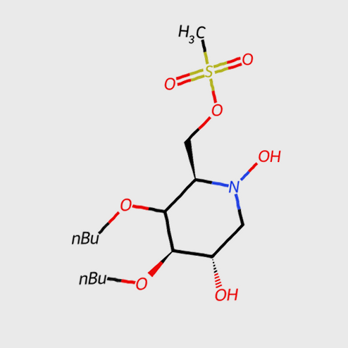 CCCCOC1[C@@H](COS(C)(=O)=O)N(O)C[C@H](O)[C@H]1OCCCC